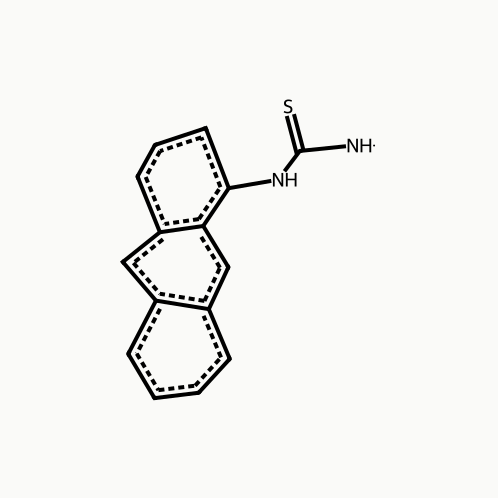 [NH]C(=S)Nc1cccc2cc3ccccc3cc12